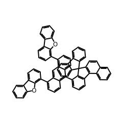 c1ccc2c(c1)-c1ccccc1C21c2ccc3ccccc3c2-c2cccc(-c3c4cccc(-c5cccc6c5oc5ccccc56)c4cc4c(-c5cccc6c5oc5ccccc56)cccc34)c21